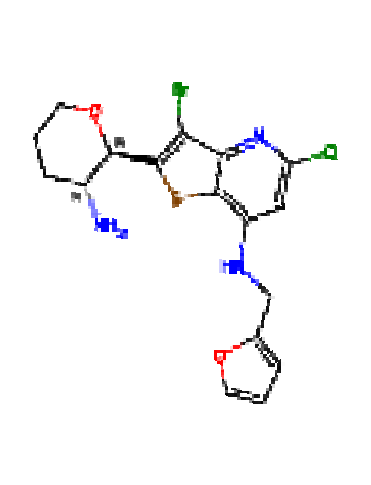 N[C@@H]1CCCO[C@H]1c1sc2c(NCc3ccco3)cc(Cl)nc2c1Br